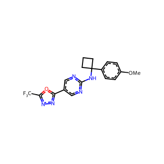 COc1ccc(C2(Nc3ncc(-c4nnc(C(F)(F)F)o4)cn3)CCC2)cc1